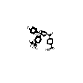 CC(F)(c1ccc([C@]2(S(=O)(=O)c3ccc(F)cc3)CCN(C(=O)[C@H]3CC[C@H](C(=O)O)CC3)C2)cc1)C(F)(F)F